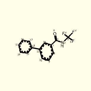 O=C(NC(F)(F)F)c1cccc(-c2ccccc2)c1